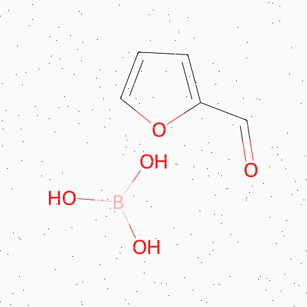 O=Cc1ccco1.OB(O)O